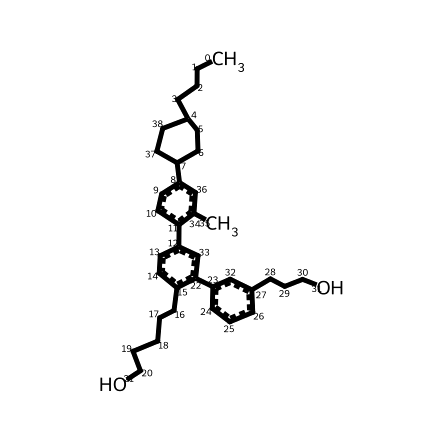 CCCCC1CCC(c2ccc(-c3ccc(CCCCCO)c(-c4cccc(CCCO)c4)c3)c(C)c2)CC1